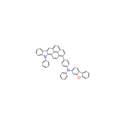 c1ccc(N(c2ccc(-c3ccc4ccc5cc6c7ccccc7n(-c7ccccc7)c6c6ccc3c4c56)cc2)c2ccc3c(c2)oc2ccccc23)cc1